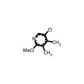 COc1ncc(Cl)c(C)c1C